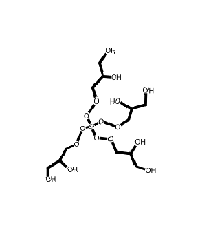 OCC(O)COO[Si](OOCC(O)CO)(OOCC(O)CO)OOCC(O)CO